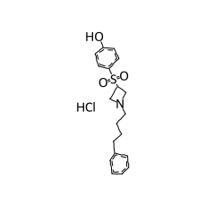 Cl.O=S(=O)(c1ccc(O)cc1)C1CN(CCCCc2ccccc2)C1